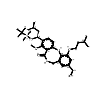 COc1c([C@H](CC(C)C)O[Si](C)(C)C(C)(C)C)ccc2c1C(=O)OCc1cc(CBr)cc(OCCC(C)C)c1O2